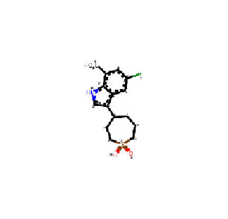 O=C(O)c1cc(Br)cc2c(C3CCCS(=O)(=O)CC3)c[nH]c12